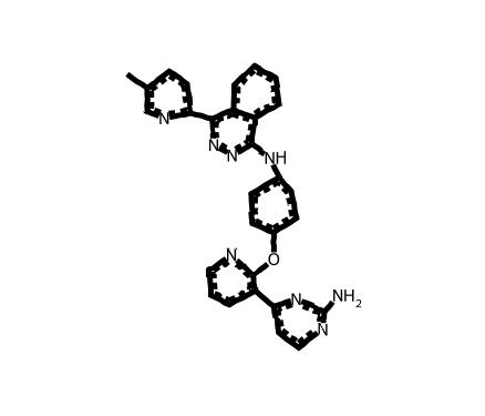 Cc1ccc(-c2nnc(Nc3ccc(Oc4ncccc4-c4ccnc(N)n4)cc3)c3ccccc23)nc1